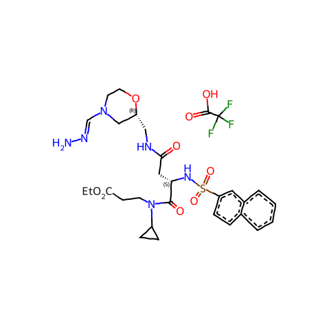 CCOC(=O)CCN(C(=O)[C@H](CC(=O)NC[C@@H]1CN(C=NN)CCO1)NS(=O)(=O)c1ccc2ccccc2c1)C1CC1.O=C(O)C(F)(F)F